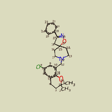 CC1(C)CCc2cc(Cl)cc(CN3CCC4(CC3)CC(c3ccccc3)=NO4)c2O1